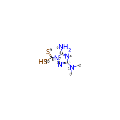 CN(C)c1nc(N)n(C(=S)S)n1